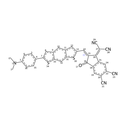 CN(C)c1ccc(-c2cc3cc4cc(/C=C5\C(=O)c6cc(C#N)c(C#N)cc6C5=C(C#N)C#N)sc4cc3s2)cc1